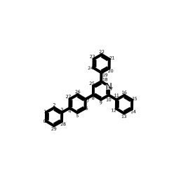 c1ccc(-c2ccc(-c3cc(-c4ccccc4)nc(-c4ccccc4)c3)cc2)cc1